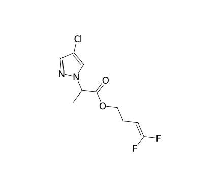 CC(C(=O)OCCC=C(F)F)n1cc(Cl)cn1